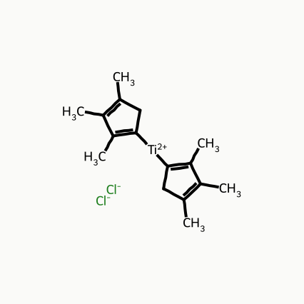 CC1=C(C)C(C)=[C]([Ti+2][C]2=C(C)C(C)=C(C)C2)C1.[Cl-].[Cl-]